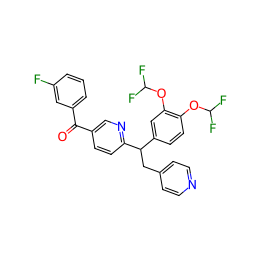 O=C(c1ccc(C(Cc2ccncc2)c2ccc(OC(F)F)c(OC(F)F)c2)nc1)c1cccc(F)c1